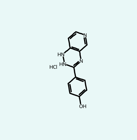 Cl.Oc1ccc(C2=Nc3cnccc3NN2)cc1